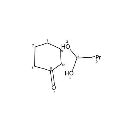 CCCC(O)O.O=C1CCCCC1